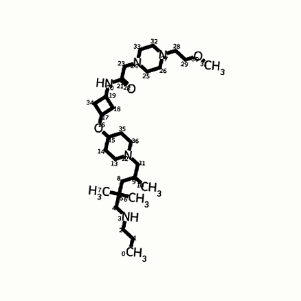 CCCNCC(C)(C)CC(C)CN1CCC(OC2CC(NC(=O)CN3CCN(CCOC)CC3)C2)CC1